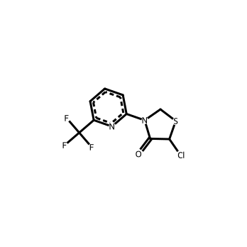 O=C1C(Cl)SCN1c1cccc(C(F)(F)F)n1